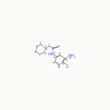 C=C(CN1CCCCC1)Nc1cnc(C)c(N)c1